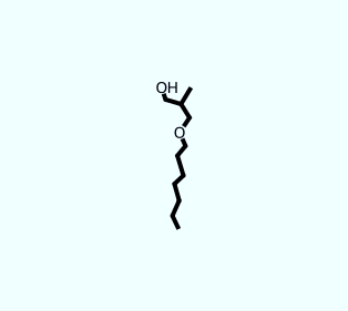 CCCCCCCOCC(C)CO